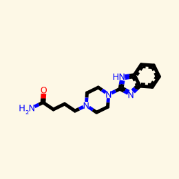 NC(=O)CCCN1CCN(c2nc3ccccc3[nH]2)CC1